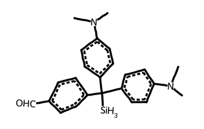 CN(C)c1ccc(C([SiH3])(c2ccc(C=O)cc2)c2ccc(N(C)C)cc2)cc1